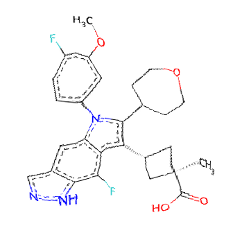 COc1cc(-n2c(C3CCOCC3)c([C@H]3C[C@](C)(C(=O)O)C3)c3c(F)c4[nH]ncc4cc32)ccc1F